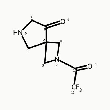 O=C(N1CC2(CNCC2=O)C1)C(F)(F)F